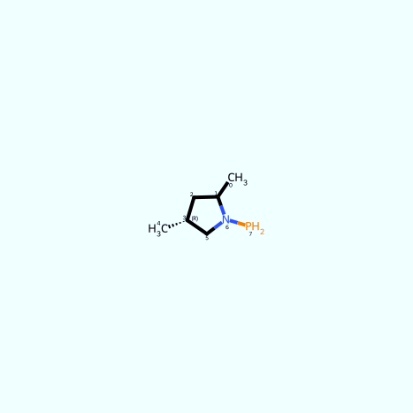 CC1C[C@@H](C)CN1P